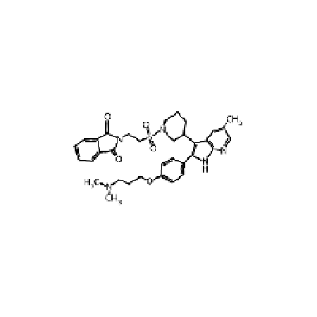 Cc1cnc2[nH]c(-c3ccc(OCCCN(C)C)cc3)c(C3CCCN(S(=O)(=O)CCN4C(=O)c5ccccc5C4=O)C3)c2c1